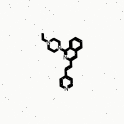 CCN1CCN(c2nc(/C=C/c3ccncc3)cc3ccccc23)CC1